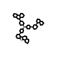 c1cc(-c2ccc(N(c3ccc(-c4cc5ccccc5c5ccccc45)cc3)c3ccc(-c4cccc5oc6c7ccccc7ccc6c45)cc3)cc2)cc(-c2cccc3ccccc23)c1